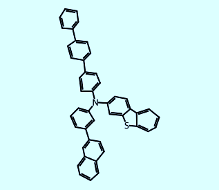 c1ccc(-c2ccc(-c3ccc(N(c4cccc(-c5ccc6ccccc6c5)c4)c4ccc5c(c4)sc4ccccc45)cc3)cc2)cc1